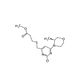 COC(=O)CCSCc1cc(N2CCOC[C@@H]2C)nc(Cl)n1